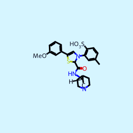 COc1cccc(C2=CN(c3cc(C)ccc3S(=O)(=O)O)C(C(=O)N[C@H]3CN4CCC3CC4)S2)c1